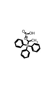 CC(O[PH](=O)O)[Si](c1ccccc1)(c1ccccc1)c1ccccc1